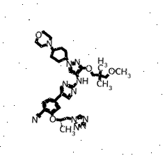 COCC(C)(C)COc1nn(C2CCC(N3CCOCC3)CC2)cc1Nc1ncc(-c2ccc(C#N)c(O[C@@H](C)Cn3cnnn3)c2)cn1